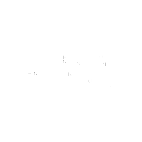 NC1CCC(Nc2ncc(Cl)c(-c3conc3CC3CC3)n2)CC1